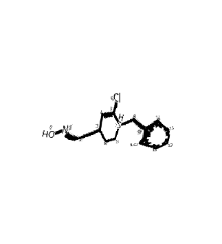 ON=CC1C=C(Cl)[SH](Cc2ccccc2)CC1